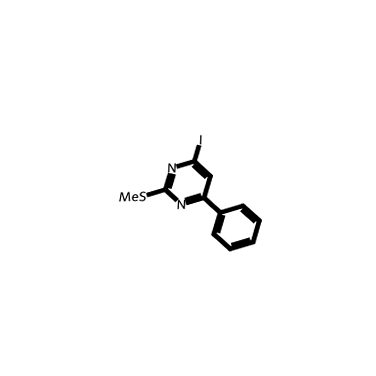 CSc1nc(I)cc(-c2ccccc2)n1